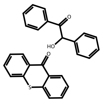 O=C(c1ccccc1)C(O)c1ccccc1.O=c1c2ccccc2sc2ccccc12